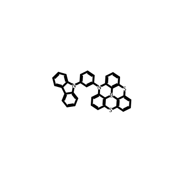 c1cc(N2c3cccc4c3B3c5c(cccc5Sc5cccc2c53)S4)cc(-n2c3ccccc3c3ccccc32)c1